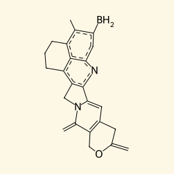 Bc1cc2nc3c(c4c2c(c1C)CCC4)CN1C(=C)C2=C(C=C31)CC(=C)OC2